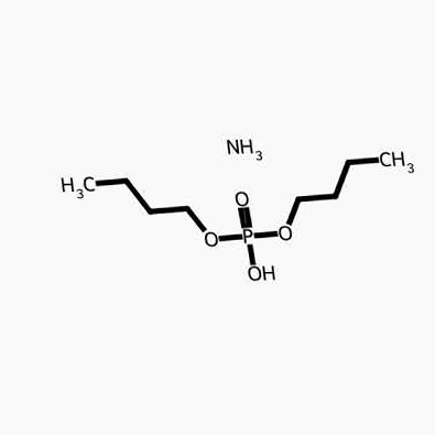 CCCCOP(=O)(O)OCCCC.N